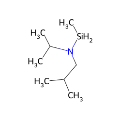 C[SiH2]N(CC(C)C)C(C)C